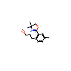 Cc1ccc(CCCO)c(C2=NC(C)(C)CO2)c1